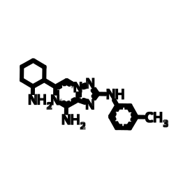 Cc1cccc(Nc2nc3c(N)nc(C4CCCCC4N)cn3n2)c1